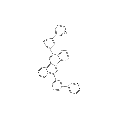 c1cncc(-c2cccc(-c3cc4c5ccccc5c(-c5cccc(-c6cccnc6)c5)cc4c4ccccc34)c2)c1